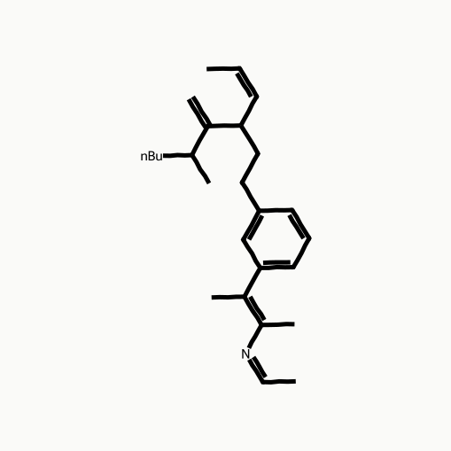 C=C(C(C)CCCC)C(/C=C\C)CCc1cccc(/C(C)=C(C)/N=C\C)c1